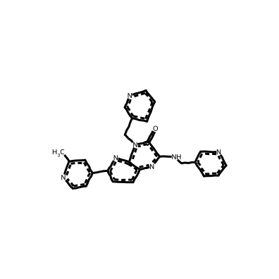 Cc1cc(-c2ccc3nc(NCc4cccnc4)c(=O)n(Cc4cccnc4)c3n2)ccn1